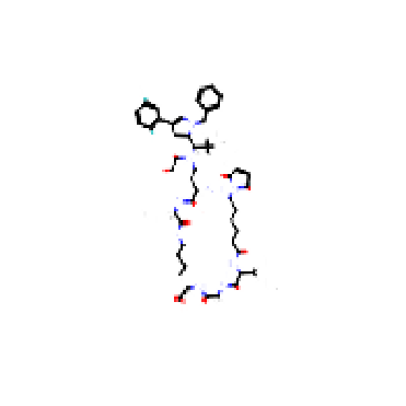 CC(C)C(NC(=O)CCCCCN1C(=O)C=CC1=O)C(=O)N[C@@H](C)C(=O)N[C@@H](CCCCNC(=O)[C@@H](C)NC(=O)[C@@H](N)CCN(C(=O)CO)[C@@H](c1cc(-c2cc(F)ccc2F)cn1Cc1ccccc1)C(C)(C)C)C(=O)O